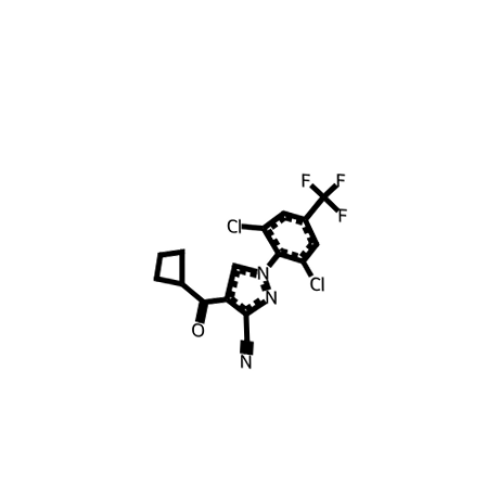 N#Cc1nn(-c2c(Cl)cc(C(F)(F)F)cc2Cl)cc1C(=O)C1CCC1